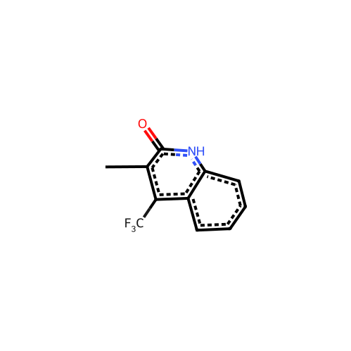 Cc1c(C(F)(F)F)c2ccccc2[nH]c1=O